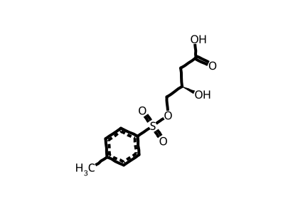 Cc1ccc(S(=O)(=O)OC[C@H](O)CC(=O)O)cc1